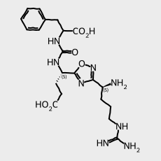 N=C(N)NCCC[C@H](N)c1noc([C@H](CCC(=O)O)NC(=O)NC(Cc2ccccc2)C(=O)O)n1